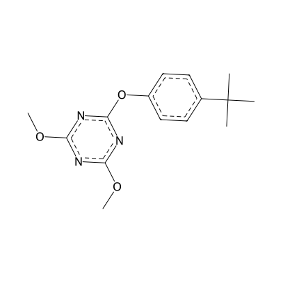 COc1nc(OC)nc(Oc2ccc(C(C)(C)C)cc2)n1